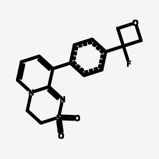 O=S1(=O)CCN2C=CC=C(c3ccc(C4(F)COC4)cc3)C2=N1